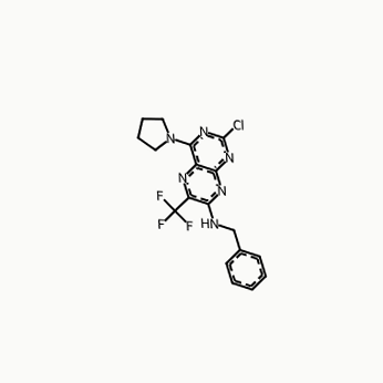 FC(F)(F)c1nc2c(N3CCCC3)nc(Cl)nc2nc1NCc1ccccc1